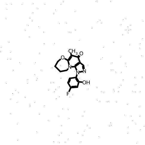 Cc1c2n(c3c(cnn3-c3ccc(F)cc3O)c1=O)CCCCO2